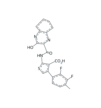 Cc1ccc(-c2csc(NC(=O)c3nc4ccccc4nc3O)c2C(=O)O)c(F)c1F